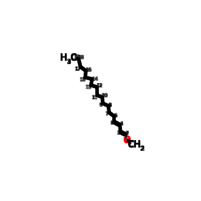 [CH2]OC=CC=CCCCCCCCCCCCCCC